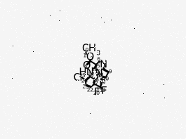 CCOC(=O)c1cnc2ccnn2c1Nc1cc(C(F)(F)F)ccc1Cl